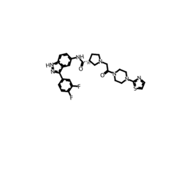 O=C(Nc1ccc2[nH]nc(-c3ccc(F)c(F)c3)c2c1)[C@@H]1CCN(CC(=O)N2CCN(c3nccs3)CC2)C1